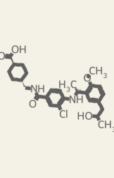 COc1ccc(CC(C)O)cc1[C@H](C)Nc1ccc(C(=O)NC[C@H]2CC[C@H](C(=O)O)CC2)cc1Cl